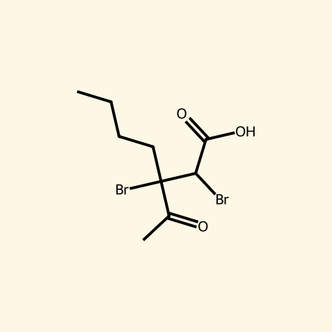 CCCCC(Br)(C(C)=O)C(Br)C(=O)O